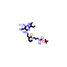 CCc1c(C)nn2c(N)c(C#N)c(NCCc3cccn(CCCNC(=O)OC(C)(C)C)c3=O)nc12